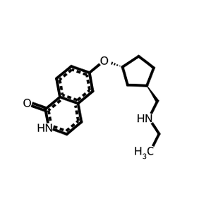 CCNC[C@@H]1CC[C@@H](Oc2ccc3c(=O)[nH]ccc3c2)C1